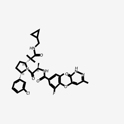 Cc1cc(Oc2c(C)cc(C(=O)N[C@H](C)C(=O)N3[C@H](c4cccc(Cl)c4)CC[C@@H]3C(C)(C)C(=O)NCC3CC3)cc2F)c(=O)[nH]n1